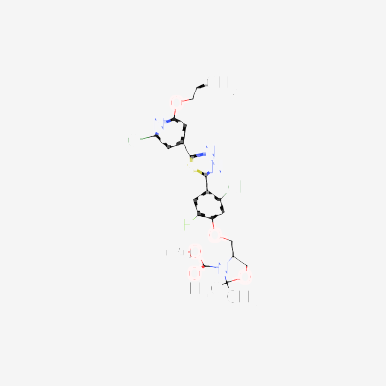 C=CCOc1cc(-c2nnc(-c3cc(F)c(OCC4COC(C)(C)N4C(=O)OC(C)(C)C)cc3Cl)s2)cc(Cl)n1